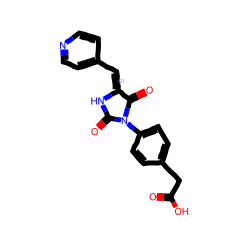 O=C(O)Cc1ccc(N2C(=O)N/C(=C\c3ccncc3)C2=O)cc1